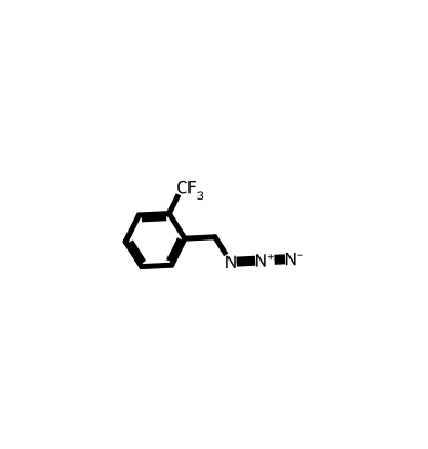 [N-]=[N+]=NCc1ccccc1C(F)(F)F